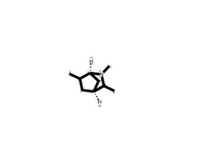 CC1C[C@H]2C[C@@H]1N(C)C2C